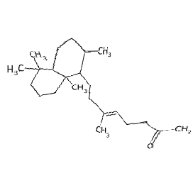 CC(=O)CCC=C(C)CCC1C(C)CCC2C(C)(C)CCCC12C